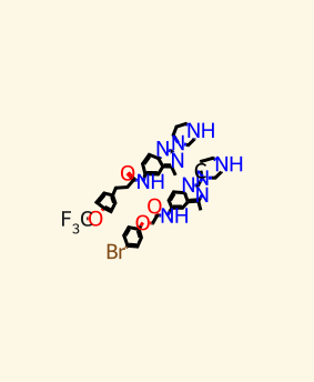 Cc1nc(N2CCCNCC2)nc2ccc(NC(=O)CCc3ccc(OC(F)(F)F)cc3)cc12.Cc1nc(N2CCCNCC2)nc2ccc(NC(=O)COc3ccc(Br)cc3)cc12